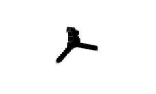 CCCCCCCCCCCCCCCC(=O)OCC(COP(=O)(O)OCCNC(=O)CCS)OC(=O)CCCCCCCCCCCCCCC